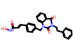 O=C(/C=C/c1ccc(Cn2c(=O)n(CCc3ccccc3)c(=O)c3ccccc32)cc1)NO